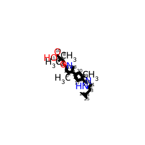 Cc1cc(OCC(C)(C)C(=O)O)ncc1-c1ccc(-c2ncc(CC3CC3)[nH]2)c(C)c1